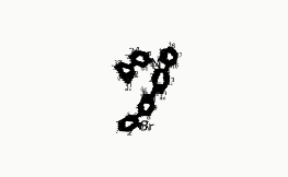 Brc1ccccc1-c1ccc(-c2ccc3c4ccccc4n(-c4cccc(-c5ccccc5)c4)c3c2)cc1